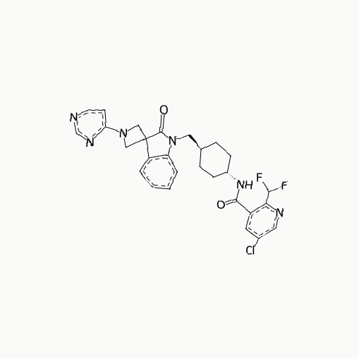 O=C(N[C@H]1CC[C@H](CN2C(=O)C3(CN(c4ccncn4)C3)c3ccccc32)CC1)c1cc(Cl)cnc1C(F)F